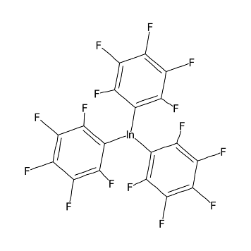 Fc1c(F)c(F)[c]([In]([c]2c(F)c(F)c(F)c(F)c2F)[c]2c(F)c(F)c(F)c(F)c2F)c(F)c1F